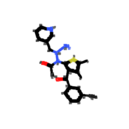 [Li][C](=O)N(c1sc(C)c(C)c1C(=O)c1cccc(OC)c1)N(N)Cc1cccnc1